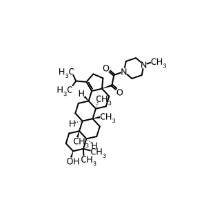 CC(C)C1=C2[C@H]3CC[C@@H]4[C@@]5(C)CC[C@H](O)C(C)(C)[C@@H]5CC[C@@]4(C)[C@]3(C)CC[C@@]2(C(=O)C(=O)N2CCN(C)CC2)CC1